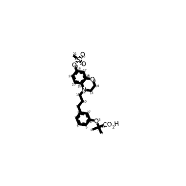 CC(C)(Oc1cccc(CCCN2CCOc3cc(OS(C)(=O)=O)ccc32)c1)C(=O)O